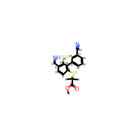 COC(=O)C(C)(C)Sc1ccc(C=N)c(S)c1-c1cccc(C#N)c1